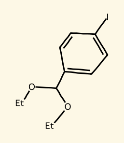 CCOC(OCC)c1ccc(I)cc1